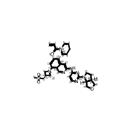 C=CC(=O)N1CCCC[C@@H]1c1ccc(N2C[C@H](CS(C)(=O)=O)[C@H]2C)c2cnc(Nc3ccnc(N4CC[C@H]5COC[C@H]54)n3)cc12